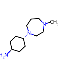 CN1CCCN([C@H]2CC[C@H](N)CC2)CC1